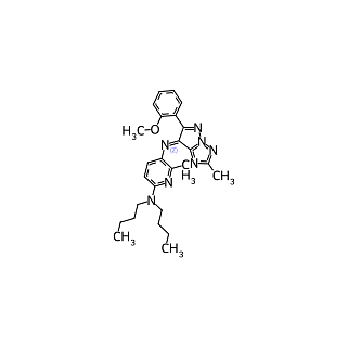 CCCCN(CCCC)c1ccc(/N=C2/C(c3ccccc3OC)=Nn3nc(C)nc32)c(C)n1